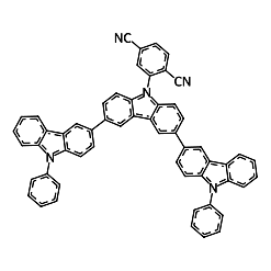 N#Cc1ccc(C#N)c(-n2c3ccc(-c4ccc5c(c4)c4ccccc4n5-c4ccccc4)cc3c3cc(-c4ccc5c(c4)c4ccccc4n5-c4ccccc4)ccc32)c1